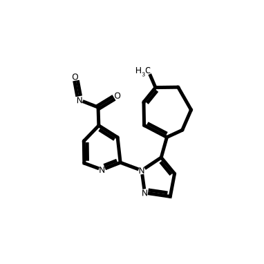 CC1=CC=C(c2ccnn2-c2cc(C(=O)N=O)ccn2)CCC1